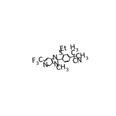 CCSc1cc(C(C)(C)C#N)ccc1-c1nc2cc(C(F)(F)F)ncc2n1C